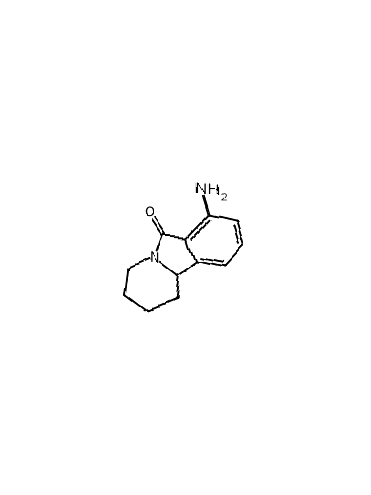 Nc1cccc2c1C(=O)N1CCCCC21